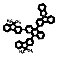 CC1(C)c2ccccc2-c2cc(-c3c4ccccc4c(-c4ccc5c(c4)-c4ccccc4[Si]54Cc5ccccc5C4)c4ccc(-c5ccc6c(c5)C(C)(C)c5ccccc5-6)cc34)ccc21